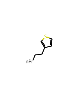 [CH2]CCCCc1ccsc1